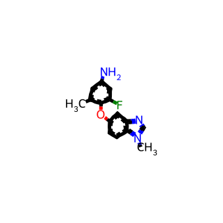 Cc1cc(N)cc(F)c1Oc1ccc2c(c1)ncn2C